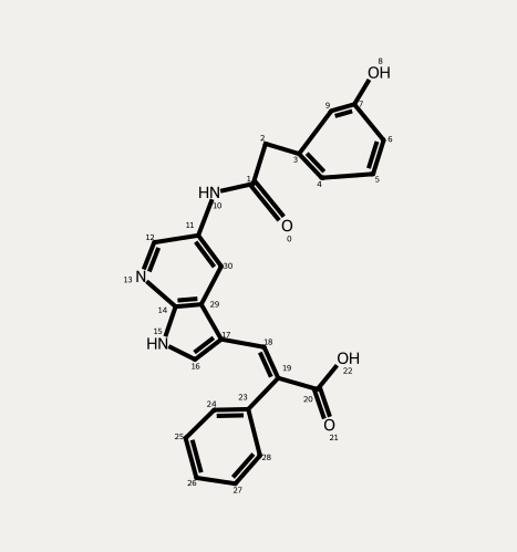 O=C(Cc1cccc(O)c1)Nc1cnc2[nH]cc(/C=C(/C(=O)O)c3ccccc3)c2c1